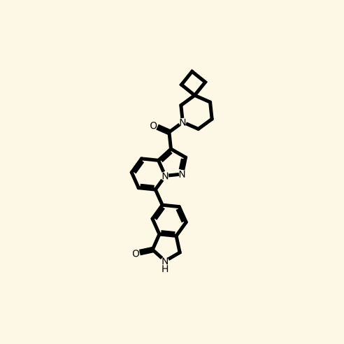 O=C1NCc2ccc(-c3cccc4c(C(=O)N5CCCC6(CCC6)C5)cnn34)cc21